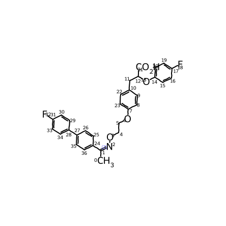 C/C(=N/OCCOc1ccc(CC(Oc2ccc(F)cc2)C(=O)O)cc1)c1ccc(-c2ccc(F)cc2)cc1